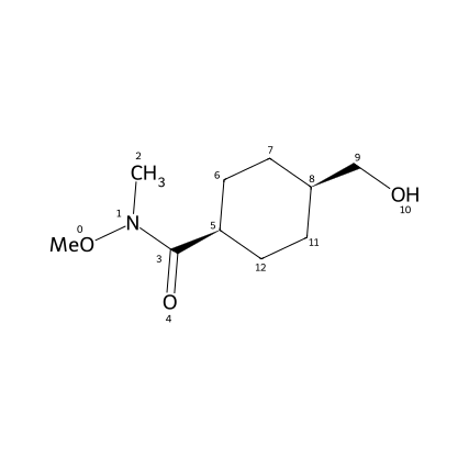 CON(C)C(=O)[C@H]1CC[C@@H](CO)CC1